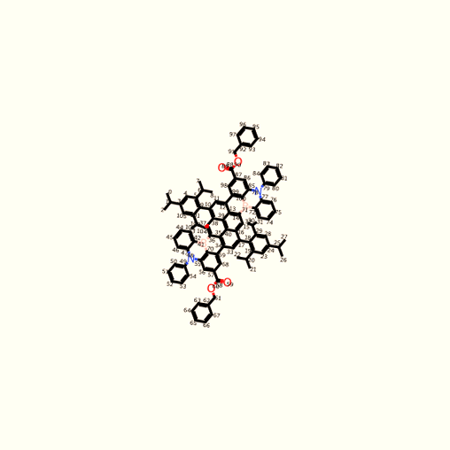 CC(C)c1cc(C(C)C)c(-c2cc3c4c(cc5c(-c6c(C(C)C)cc(C(C)C)cc6C(C)C)cc6c7c(cc2c4c57)B2c4ccccc4N(c4ccccc4)c4cc(C(=O)OCc5ccccc5)cc-6c42)B2c4ccccc4N(c4ccccc4)c4cc(C(=O)OCc5ccccc5)cc-3c42)c(C(C)C)c1